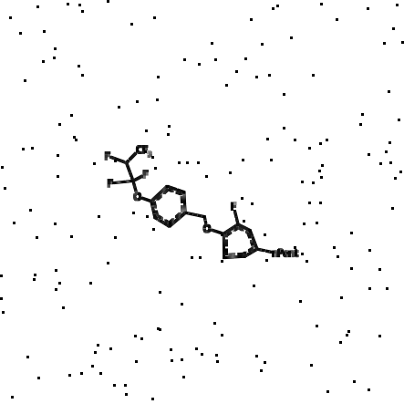 CCCCCc1ccc(OCc2ccc(OC(F)(F)C(F)C(F)(F)F)cc2)c(F)c1